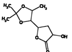 CC1OC(C)(C)OC1C1CC(O)C(=O)O1